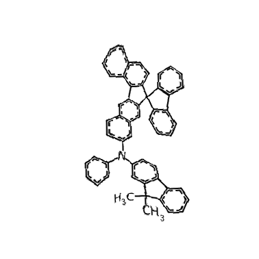 CC1(C)c2ccccc2-c2ccc(N(c3ccccc3)c3ccc4cc5c(cc4c3)C3(c4ccccc4-c4ccccc43)c3ccc4ccccc4c3-5)cc21